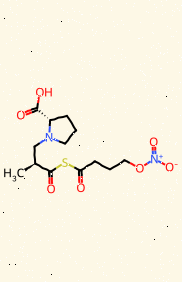 C[C@@H](CN1CCC[C@H]1C(=O)O)C(=O)SC(=O)CCCO[N+](=O)[O-]